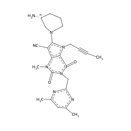 CC#CCn1c(N2CCC[C@@H](N)C2)c(C#N)c2c1c(=O)n(Cc1nc(C)cc(C)n1)c(=O)n2C